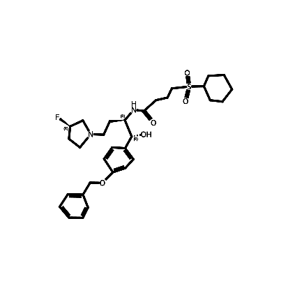 O=C(CCCS(=O)(=O)C1CCCCC1)N[C@H](CCN1CC[C@@H](F)C1)[C@H](O)c1ccc(OCc2ccccc2)cc1